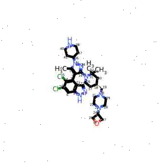 Cc1c(-c2c(Cl)c(Cl)cc3[nH]ncc23)c(N2CC[C@@H](CN3CCN(C4COC4)CC3)CC2(C)C)nn1C1CCNCC1